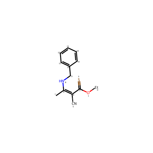 CCOC(=S)C(C#N)=C(C)NCc1ccccc1